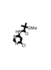 COC(C)(C)C(=O)Nc1cc(Cl)ncn1